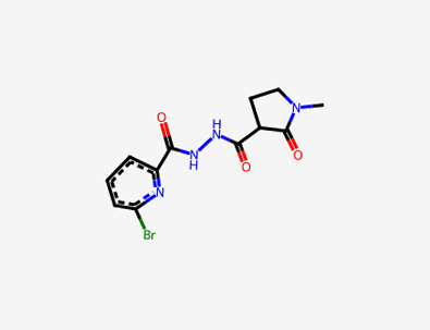 CN1CCC(C(=O)NNC(=O)c2cccc(Br)n2)C1=O